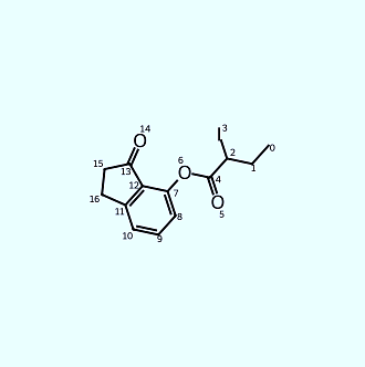 CCC(I)C(=O)Oc1cccc2c1C(=O)CC2